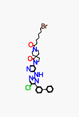 O=C(CCCCCCBr)N1CCC2(CC1)CCN(c1cncc(Nc3ncc(Cl)c(-c4cccc(-c5ccccc5)c4)n3)c1)C2=O